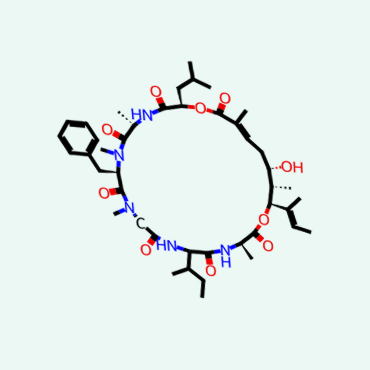 C/C=C(\C)[C@H]1OC(=O)[C@@H](C)NC(=O)C(C(C)CC)NC(=O)CN(C)C(=O)[C@@H](Cc2ccccc2)N(C)C(=O)[C@H](C)NC(=O)[C@@H](CC(C)C)OC(=O)/C(C)=C/C[C@H](O)[C@@H]1C